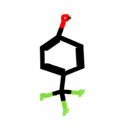 [O]c1ccc(C(F)(F)F)cc1